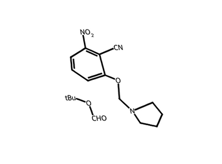 CC(C)(C)OC=O.N#Cc1c(OCN2CCCC2)cccc1[N+](=O)[O-]